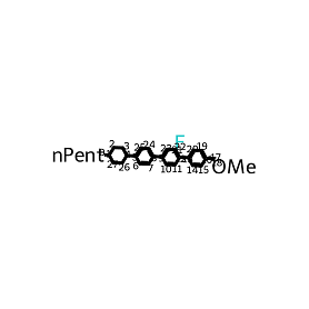 CCCCCC1CCC(c2ccc(-c3ccc(-c4ccc(COC)cc4)c(F)c3)cc2)CC1